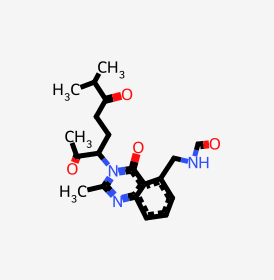 CC(=O)C(CCC(=O)C(C)C)n1c(C)nc2cccc(CNC=O)c2c1=O